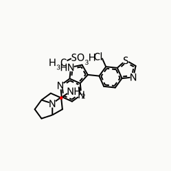 CS(=O)(=O)O.NC1CC2CCC(C1)N2c1cnc2c(-c3ccc4ncsc4c3Cl)c[nH]c2n1